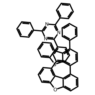 c1ccc(-c2nc(-c3ccccc3)nc(-c3cccc(-c4cccc5oc6cccc(-c7ccc(-c8ccccc8)c8c7sc7ccccc78)c6c45)c3)n2)cc1